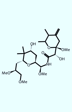 C=C1C[C@](OC)([C@H](O)C(=O)N[C@@H](OC)[C@@H]2C[C@@H](O)C(C)(C)[C@@H](C[C@@H](COC)OC)O2)OC(C)C1C